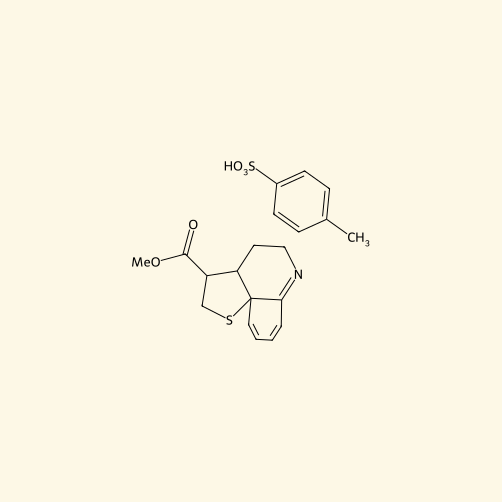 COC(=O)C1CSC23C=CC=CC2=NCCC13.Cc1ccc(S(=O)(=O)O)cc1